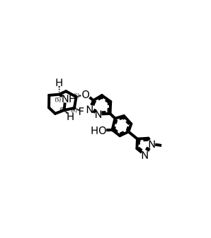 Cn1cc(-c2ccc(-c3ccc(O[C@H]4C[C@@H]5CCC[C@@H](N5)[C@H]4F)nn3)c(O)c2)cn1